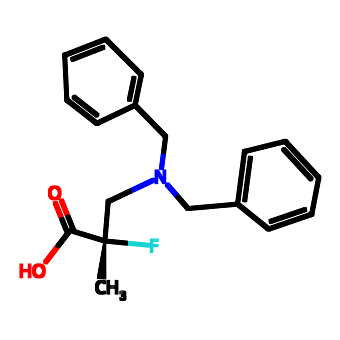 C[C@](F)(CN(Cc1ccccc1)Cc1ccccc1)C(=O)O